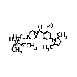 C=C(/C(C)=C\C(C)=C/C)N1CCN(C(=O)c2ccc(N3C(=C)CCC3C)cc2C=O)CC1